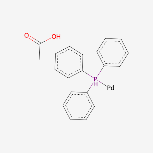 CC(=O)O.[Pd][PH](c1ccccc1)(c1ccccc1)c1ccccc1